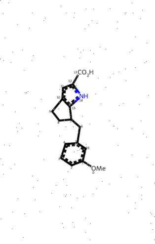 COc1cccc(CC2CCc3cc(C(=O)O)[nH]c32)c1